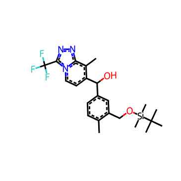 Cc1ccc(C(O)c2ccn3c(C(F)(F)F)nnc3c2C)cc1CO[Si](C)(C)C(C)(C)C